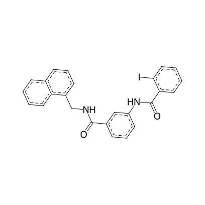 O=C(NCc1cccc2ccccc12)c1cccc(NC(=O)c2ccccc2I)c1